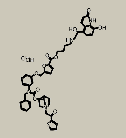 Cl.O=C(OCCCCNCC(O)c1ccc(O)c2[nH]c(=O)ccc12)c1ccc(COc2cccc(N(Cc3ccccc3)C(=O)OC3C[N+]4(CC(=O)c5cccs5)CCC3CC4)c2)o1.[Cl-]